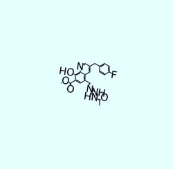 COC(=O)c1cc(C=NNNC(C)=O)c2cc(Cc3ccc(F)cc3)cnc2c1O